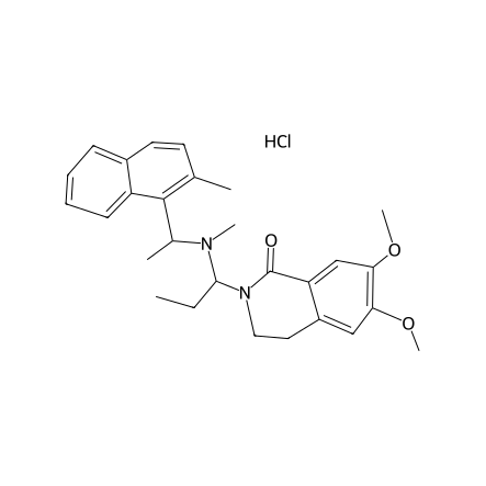 CCC(N1CCc2cc(OC)c(OC)cc2C1=O)N(C)C(C)c1c(C)ccc2ccccc12.Cl